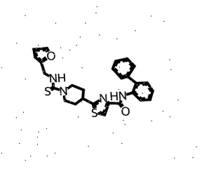 O=C(Nc1ccccc1-c1ccccc1)c1csc(C2CCN(C(=S)NCc3ccco3)CC2)n1